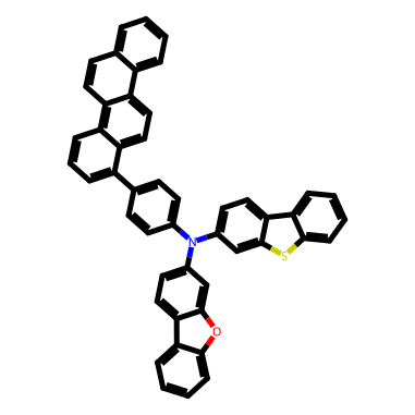 c1ccc2c(c1)ccc1c3cccc(-c4ccc(N(c5ccc6c(c5)oc5ccccc56)c5ccc6c(c5)sc5ccccc56)cc4)c3ccc21